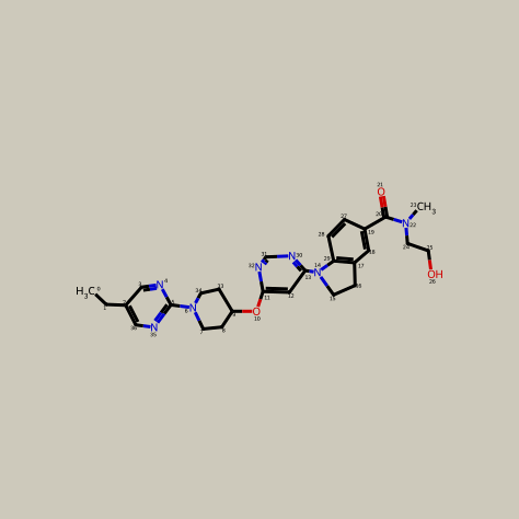 CCc1cnc(N2CCC(Oc3cc(N4CCc5cc(C(=O)N(C)CCO)ccc54)ncn3)CC2)nc1